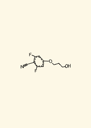 N#Cc1c(F)cc(OCCCO)cc1F